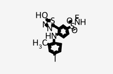 Cc1cc(I)ccc1Nc1ccc(S(=O)(=O)NF)cc1-c1nnc(O)s1